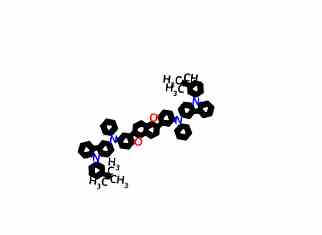 CC(C)(C)c1cccc(-n2c3ccccc3c3cc(N(c4ccccc4)c4ccc5oc6c(ccc7c6ccc6c8cc(N(c9ccccc9)c9ccc%10c(c9)c9ccccc9n%10-c9cccc(C(C)(C)C)c9)ccc8oc67)c5c4)ccc32)c1